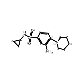 Nc1cc(S(=O)(=O)NC2CC2)ccc1N1CCCCC1